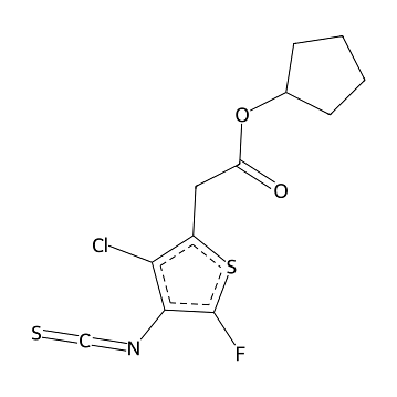 O=C(Cc1sc(F)c(N=C=S)c1Cl)OC1CCCC1